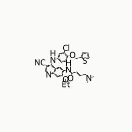 CCOc1cc2ncc(C#N)c(Nc3ccc(OCc4cccs4)c(Cl)c3)c2cc1NC(=O)/C=C/CN(C)C